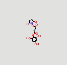 O=C(CCC(=O)ON1C(=O)CCC1=O)Oc1c(O)cc(O)cc1O